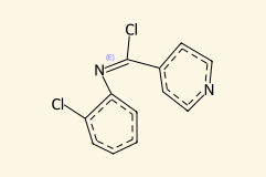 Cl/C(=N/c1ccccc1Cl)c1ccncc1